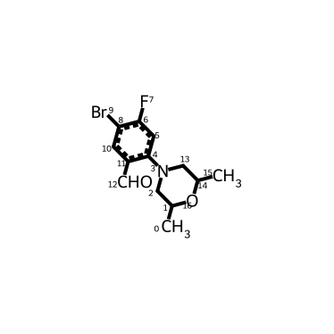 CC1CN(c2cc(F)c(Br)cc2C=O)CC(C)O1